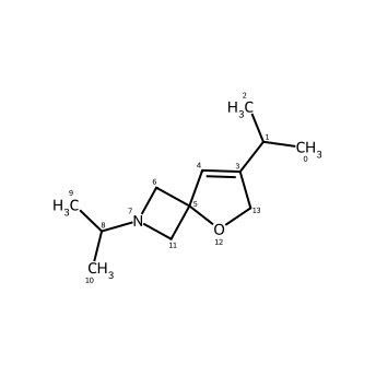 CC(C)C1=CC2(CN(C(C)C)C2)OC1